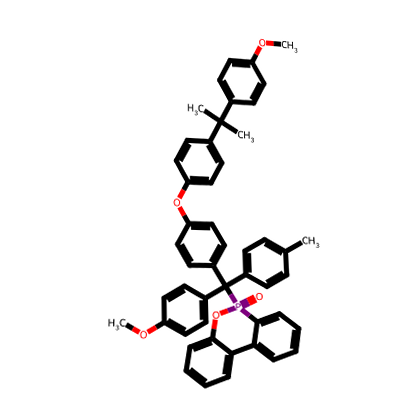 COc1ccc(C(C)(C)c2ccc(Oc3ccc(C(c4ccc(C)cc4)(c4ccc(OC)cc4)P4(=O)Oc5ccccc5-c5ccccc54)cc3)cc2)cc1